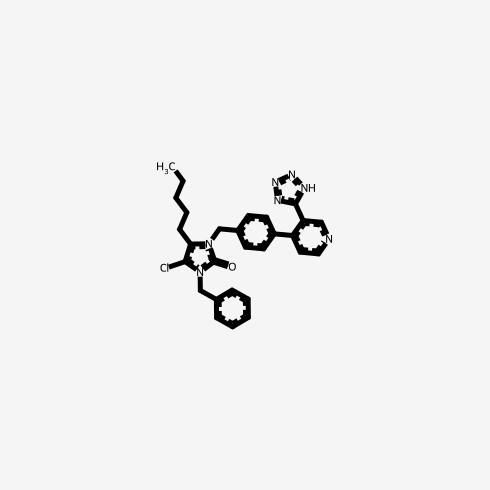 CCCCCc1c(Cl)n(Cc2ccccc2)c(=O)n1Cc1ccc(-c2ccncc2-c2nnn[nH]2)cc1